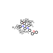 CC(C)(C)c1ccc2c(c1)B1c3cc(C(C)(C)C)ccc3N(c3ccc(C(C)(C)C)cc3-c3ccccc3)c3cc(C(C)(C)C)cc(c31)N2c1ccc(-c2cccc3c2oc2ccccc23)cc1